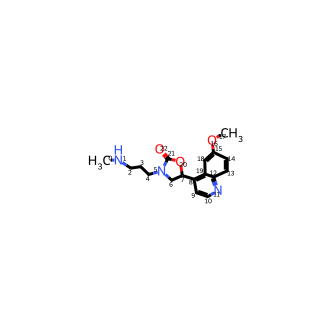 CNCCCN1CC(c2ccnc3ccc(OC)cc23)OC1=O